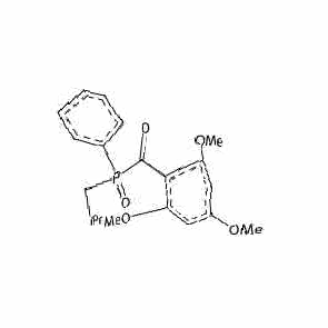 COc1cc(OC)c(C(=O)P(=O)(CC(C)C)c2ccccc2)c(OC)c1